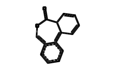 O=C1OC=c2ccccc2=C2C=CC=CC12